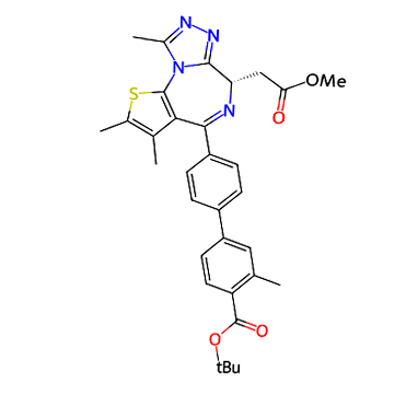 COC(=O)C[C@@H]1N=C(c2ccc(-c3ccc(C(=O)OC(C)(C)C)c(C)c3)cc2)c2c(sc(C)c2C)-n2c(C)nnc21